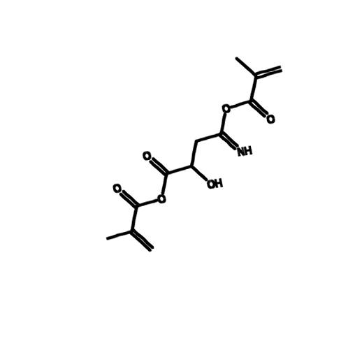 C=C(C)C(=O)OC(=N)CC(O)C(=O)OC(=O)C(=C)C